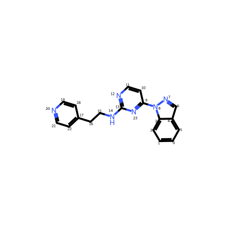 c1ccc2c(c1)cnn2-c1ccnc(NCCc2ccncc2)n1